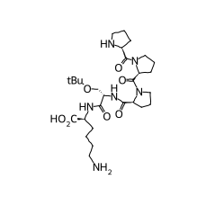 CC(C)(C)OC[C@H](NC(=O)[C@@H]1CCCN1C(=O)[C@@H]1CCCN1C(=O)[C@@H]1CCCN1)C(=O)N[C@@H](CCCCN)C(=O)O